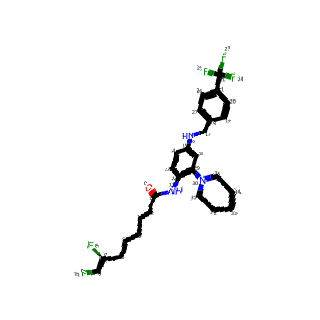 O=C(CCCCC[C@H](F)CF)Nc1ccc(NCc2ccc(C(F)(F)F)cc2)cc1N1CCCCC1